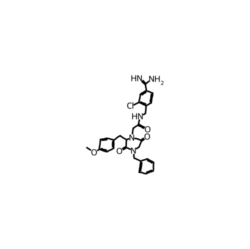 COc1ccc(CC2C(=O)N(Cc3ccccc3)CC(=O)N2CC(=O)NCc2ccc(C(=N)N)cc2Cl)cc1